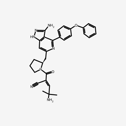 CC(C)(N)C=C(C#N)C(=O)N1CCC[C@H]1Cc1cc2[nH]nc(N)c2c(-c2ccc(Oc3ccccc3)cc2)n1